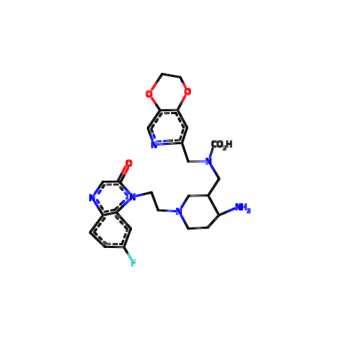 NC1CCN(CCn2c(=O)cnc3ccc(F)cc32)CC1CN(Cc1cc2c(cn1)OCCO2)C(=O)O